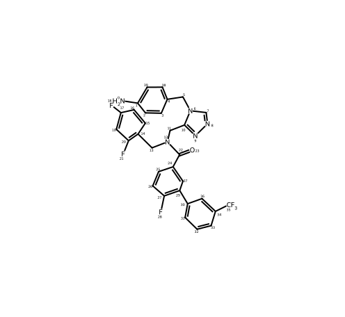 Nc1ccc(Cn2cnnc2CN(Cc2ccc(F)cc2F)C(=O)c2ccc(F)c(-c3cccc(C(F)(F)F)c3)c2)cc1